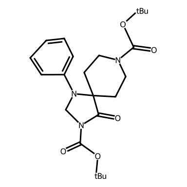 CC(C)(C)OC(=O)N1CCC2(CC1)C(=O)N(C(=O)OC(C)(C)C)CN2c1ccccc1